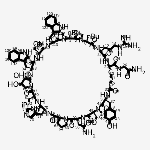 CCCC[C@H]1C(=O)N(C)[C@@H](CCCC)C(=O)N[C@@H](CCCNC(=N)N)C(=O)NC(C(=O)NCC(N)=O)CSCC(=O)N[C@@H](Cc2ccc(O)cc2)C(=O)N(C)[C@@H](CO)C(=O)N[C@@H](CC(N)=O)C(=O)N2CCC[C@H]2C(=O)N[C@@H](Cc2cnc[nH]2)C(=O)N[C@@H](CC(C)C)C(=O)N2C[C@H](O)CC2(C=O)N[C@@H](Cc2c[nH]c3ccccc23)C(=O)N[C@@H](CO)C(=O)N[C@@H](Cc2c[nH]c3ccccc23)C(=O)N1C